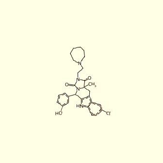 CC12Cc3c([nH]c4ccc(Cl)cc34)C(c3cccc(O)c3)N1C(=O)N(CCN1CCCCCC1)C2=O